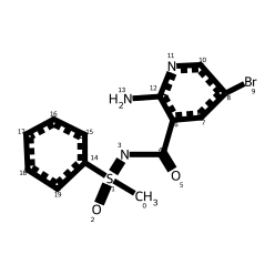 CS(=O)(=NC(=O)c1cc(Br)cnc1N)c1ccccc1